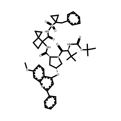 COc1ccc2c(O[C@@H]3C[C@@H](C(=O)NC4(C(=O)NS(=O)(=O)C5(Cc6ccccc6)CC5)CCC45CC5)N(C(=O)[C@@H](NC(=O)OC(C)(C)C)C(C)(C)C)C3)cc(-c3ccccc3)nc2c1